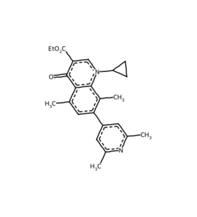 CCOC(=O)c1cn(C2CC2)c2c(C)c(-c3cc(C)nc(C)c3)cc(C)c2c1=O